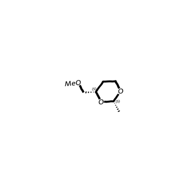 COC[C@@H]1CCO[C@H](C)O1